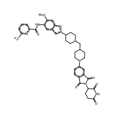 COc1cc2nn(C3CCN(CC4CCN(c5ccc6c(c5)C(=O)N(C5CCC(=O)NC5=O)C6=O)CC4)CC3)cc2cc1NC(=O)c1cccc(C(F)(F)F)n1